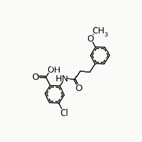 COc1cccc(CCC(=O)Nc2cc(Cl)ccc2C(=O)O)c1